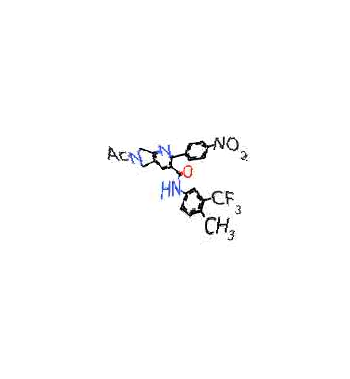 CC(=O)N1Cc2cc(C(=O)Nc3ccc(C)c(C(F)(F)F)c3)c(-c3ccc([N+](=O)[O-])cc3)nc2C1